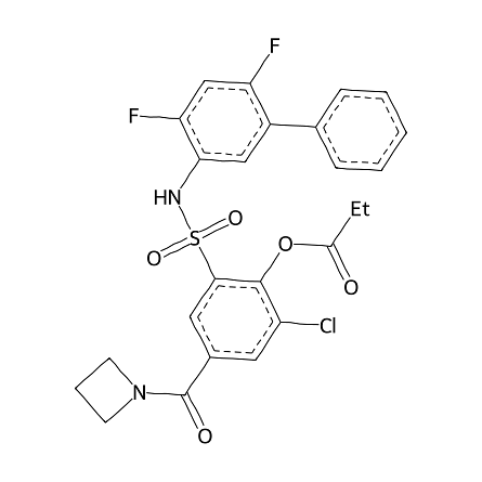 CCC(=O)Oc1c(Cl)cc(C(=O)N2CCC2)cc1S(=O)(=O)Nc1cc(-c2ccccc2)c(F)cc1F